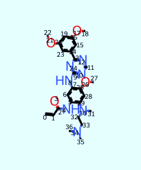 C=CC(=O)Nc1cc(Nc2ncnc(-c3cc(OC)cc(OC)c3)n2)c(OC)cc1N(C)CCN(C)C